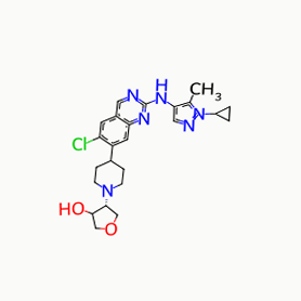 Cc1c(Nc2ncc3cc(Cl)c(C4CCN([C@@H]5COCC5O)CC4)cc3n2)cnn1C1CC1